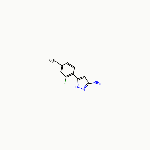 Nc1cc(-c2ccc([N+](=O)[O-])cc2F)[nH]n1